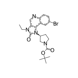 CCn1c(=O)n([C@H]2CCN(C(=O)OC(C)(C)C)C2)c2c3cc(Br)ccc3ncc21